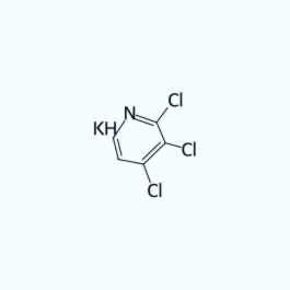 Clc1ccnc(Cl)c1Cl.[KH]